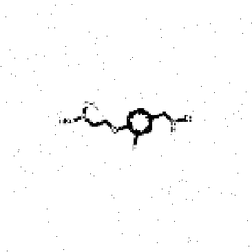 CCCCN(C)CCOc1ccc(CNCC)cc1F